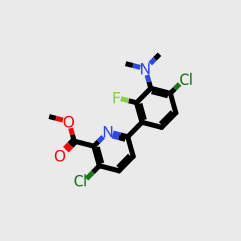 COC(=O)c1nc(-c2ccc(Cl)c(N(C)C)c2F)ccc1Cl